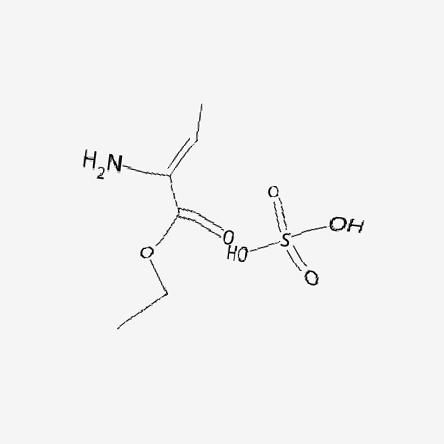 CC=C(N)C(=O)OCC.O=S(=O)(O)O